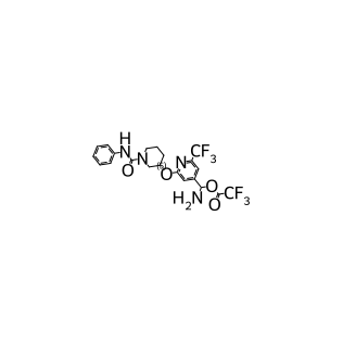 NC(OC(=O)C(F)(F)F)c1cc(O[C@H]2CCCN(C(=O)Nc3ccccc3)C2)nc(C(F)(F)F)c1